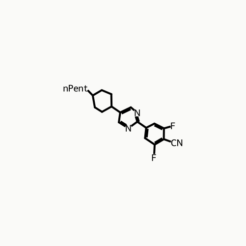 CCCCCC1CCC(c2cnc(-c3cc(F)c(C#N)c(F)c3)nc2)CC1